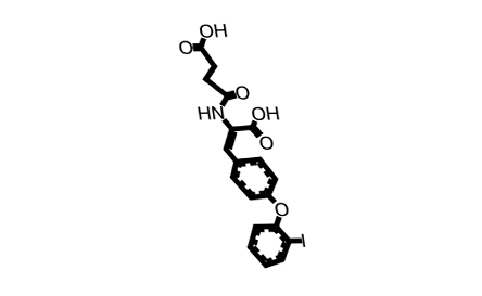 O=C(O)CCC(=O)N/C(=C/c1ccc(Oc2ccccc2I)cc1)C(=O)O